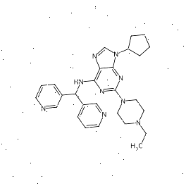 CCN1CCN(c2nc(NC(c3cccnc3)c3cccnc3)c3ncn(C4CCCC4)c3n2)CC1